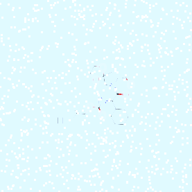 CC(C)COC(=O)NC(C(=O)N1CC2(C[C@H]1C=O)OCCO2)C1CCCCC1